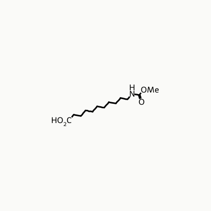 COC(=O)NCCCCCCCCCCC(=O)O